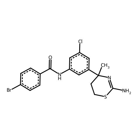 CC1(c2cc(Cl)cc(NC(=O)c3ccc(Br)cc3)c2)CCSC(N)=N1